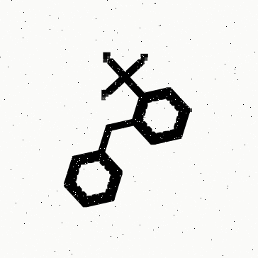 FC(F)(F)c1c[c]ccc1Cc1ccccc1